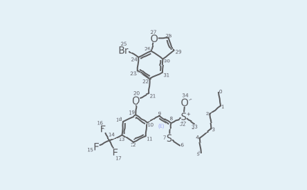 CCCCCC.CS/C(=C\c1ccc(C(F)(F)F)cc1OCc1cc(Br)c2occc2c1)[S+](C)[O-]